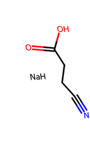 N#CCCC(=O)O.[NaH]